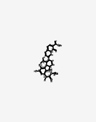 C=C(CCC)C1=CC=C2C=CC(C3=C(N(C)C)C4c5c(F)c(F)cc(N(C)C(=O)OC(C)(C)C)c5NC4N=C3)=CN2C1=C